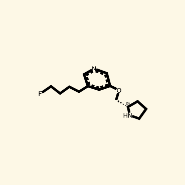 FCCCCc1cncc(OC[C@@H]2CCCN2)c1